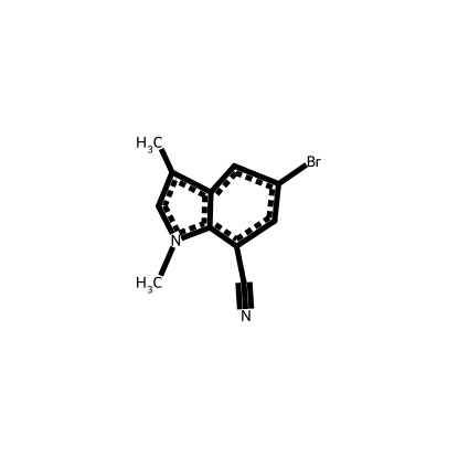 Cc1cn(C)c2c(C#N)cc(Br)cc12